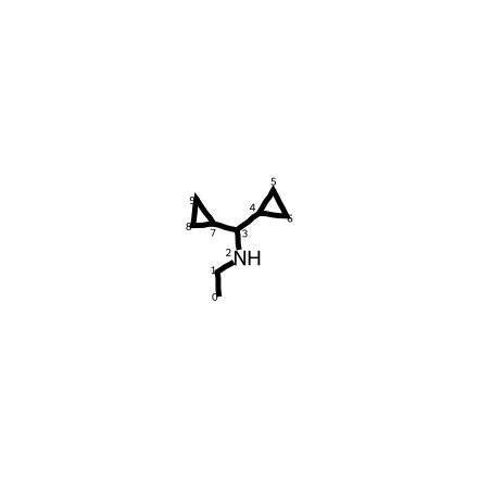 CCN[C](C1CC1)C1CC1